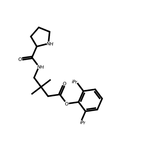 CC(C)c1cccc(C(C)C)c1OC(=O)CC(C)(C)CNC(=O)C1CCCN1